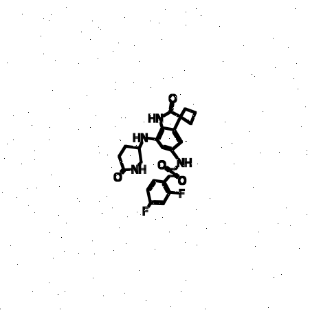 O=C1CCC(Nc2cc(NS(=O)(=O)c3ccc(F)cc3F)cc3c2NC(=O)C32CCC2)CN1